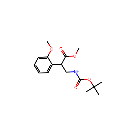 COC(=O)C(CNC(=O)OC(C)(C)C)c1ccccc1OC